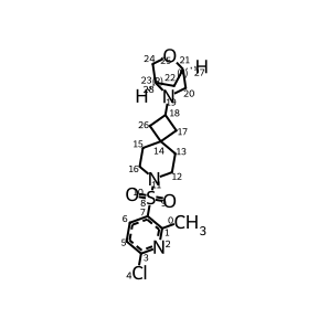 Cc1nc(Cl)ccc1S(=O)(=O)N1CCC2(CC1)CC(N1C[C@H]3C[C@@H]1CO3)C2